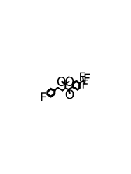 COC(=O)C(CCc1ccc(F)cc1)C(=O)c1ccc(C(F)(F)F)cc1